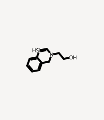 OCCN1C=[SiH]c2ccccc2C1